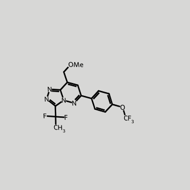 COCc1cc(-c2ccc(OC(F)(F)F)cc2)nn2c(C(C)(F)F)nnc12